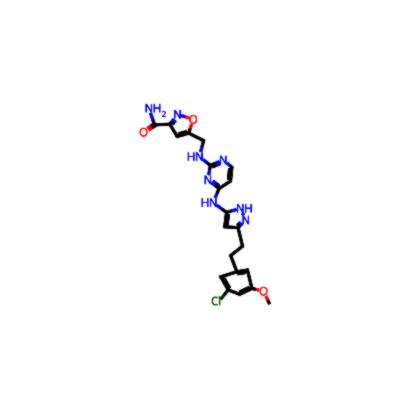 COc1cc(Cl)cc(CCc2cc(Nc3ccnc(NCc4cc(C(N)=O)no4)n3)[nH]n2)c1